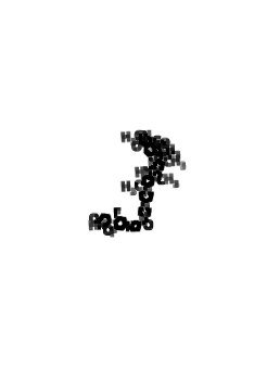 COc1cc(N2CCC(N3CCN(C(=O)[C@@H]4CCN(C5=CC(F)C([C@H]6CCC(=O)NC6=O)C(F)=C5)C4)CC3)CC2)c(C)cc1Nc1ncc(C)c(Nc2ccc3c(=O)n(C)ncc3c2P(C)(C)=O)n1